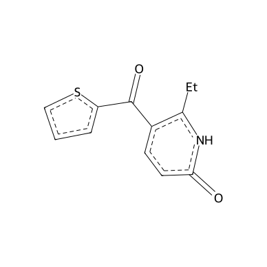 CCc1[nH]c(=O)ccc1C(=O)c1cccs1